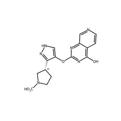 O=C(O)N1CC[C@@H](c2n[nH]cc2Oc2nc(O)c3ccncc3n2)C1